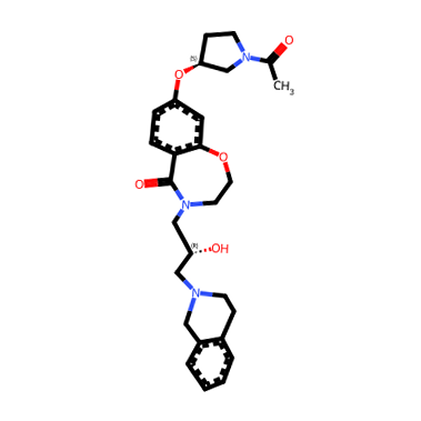 CC(=O)N1CC[C@H](Oc2ccc3c(c2)OCCN(C[C@H](O)CN2CCc4ccccc4C2)C3=O)C1